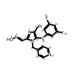 CC(C)c1nc(C=NO)n(Cc2ccncc2)c1Sc1cc(F)cc(F)c1